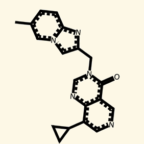 Cc1ccc2nc(Cn3cnc4c(C5CC5)cncc4c3=O)cn2c1